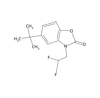 CC(C)(C)c1ccc2oc(=O)n(CC(F)F)c2c1